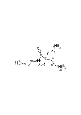 NCCN1CCC(CCN)(CCN)C1=O